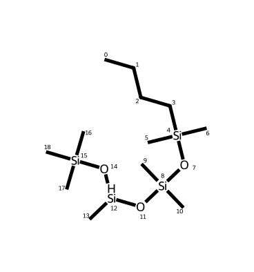 CCCC[Si](C)(C)O[Si](C)(C)O[SiH](C)O[Si](C)(C)C